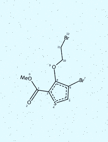 COC(=O)c1scc(Br)c1OCCBr